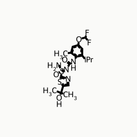 Cc1cc(OC(F)F)cc(C(C)C)c1NC(=O)N=S(N)(=O)c1ncc(C(C)(C)O)s1